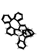 c1ccc2c(c1)-c1ccccc1-c1cccc(-n3c4ccccc4c4ccccc43)c1-c1nc3ncccc3cc1-2